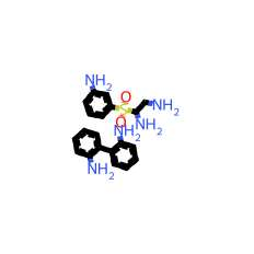 NCC(N)S(=O)(=O)c1cccc(N)c1.Nc1ccccc1-c1ccccc1N